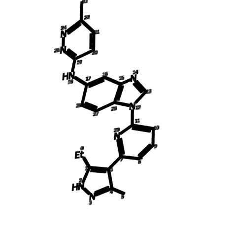 CCc1[nH]nc(C)c1-c1[c]ccc(-n2cnc3cc(Nc4ccc(C)nn4)ccc32)n1